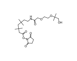 CC(C)(CCNC(=O)COCCOC(C)(C)CO)CC(C)(C)CC(=O)ON1C(=O)CCC1=O